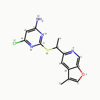 Cc1coc2cnc(C(C)Sc3nc(N)cc(Cl)n3)cc12